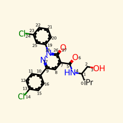 CC(C)C(CO)NC(=O)c1cc(-c2ccc(Cl)cc2)nn(-c2cccc(Cl)c2)c1=O